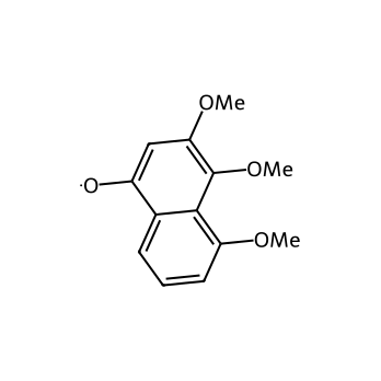 COc1cc([O])c2cccc(OC)c2c1OC